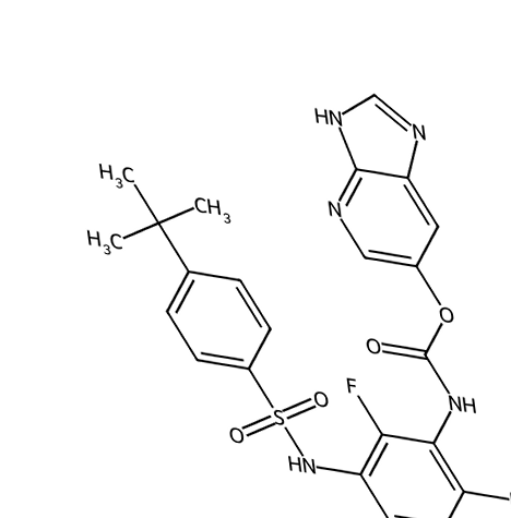 CC(C)(C)c1ccc(S(=O)(=O)Nc2ccc(F)c(NC(=O)Oc3cnc4[nH]cnc4c3)c2F)cc1